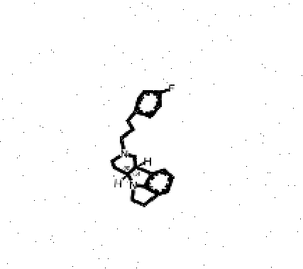 Fc1ccc(CCCN2CC[C@@H]3[C@H](C2)c2cccc4c2N3CC4)cc1